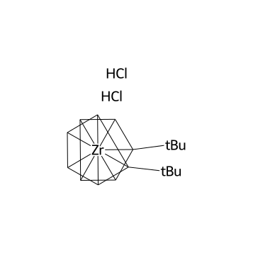 CC(C)(C)[C]12[CH]3[CH]4[CH]5[CH]1[Zr]45321678[CH]2[CH]1[CH]6[C]7(C(C)(C)C)[CH]28.Cl.Cl